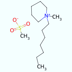 CCCCCCC[N+]1(C)CCCCC1.CS(=O)(=O)[O-]